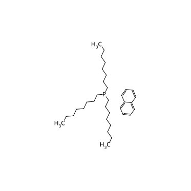 CCCCCCCCP(CCCCCCCC)CCCCCCCC.c1ccc2ccccc2c1